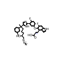 CC(CCCC(O)CN=[N+]=[N-])(c1cccc(I)c1)c1cnc(-c2cc(Oc3c(F)cc4[nH]ccc4c3/C=C/C(=O)O)ccc2F)[nH]1